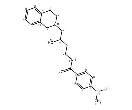 C[S+]([O-])c1ccc(C(=O)NCCC(O)CN2CCc3ccccc3C2)cc1